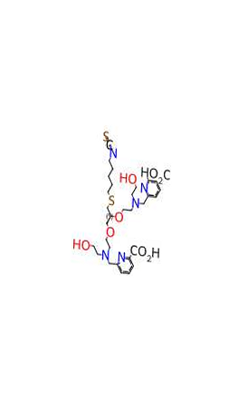 O=C(O)c1cccc(CN(CCO)CCOC[C@@H](CSCCCCCN=C=S)OCCN(CCO)Cc2cccc(C(=O)O)n2)n1